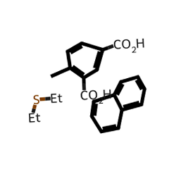 CCSCC.Cc1ccc(C(=O)O)cc1C(=O)O.c1ccc2ccccc2c1